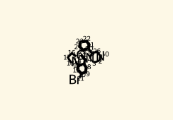 CN1CCN(C(=O)c2ccc(Br)cc2N2CCCC2)C(c2ccccc2)C1